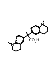 CN1CCCc2cc(C(C)(C(=O)O)c3ccc4c(c3)CCCN4C)ccc21